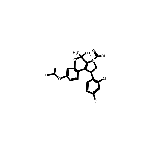 CC1(C)Oc2cc(OC(F)F)ccc2C2=C1N(C(=O)O)CC2c1ccc(Cl)cc1Cl